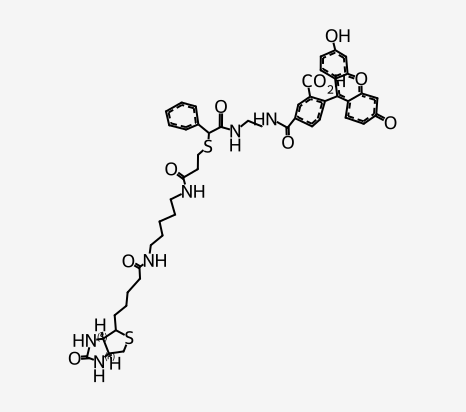 O=C(CCCCC1SC[C@@H]2NC(=O)N[C@H]12)NCCCCCNC(=O)CCSC(C(=O)NCCNC(=O)c1ccc(-c2c3ccc(=O)cc-3oc3cc(O)ccc23)c(C(=O)O)c1)c1ccccc1